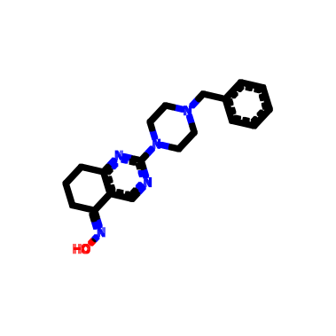 ON=C1CCCc2nc(N3CCN(Cc4ccccc4)CC3)ncc21